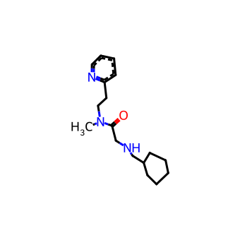 CN(CCc1ccccn1)C(=O)CNCC1CCCCC1